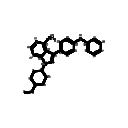 CCC1CCC(n2cc(-c3ccc(Oc4ccccc4)cc3)c3c(N)ncnc32)CC1